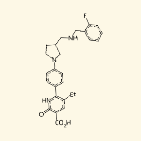 CCc1cc(C(=O)O)c(=O)[nH]c1-c1ccc(N2CCC(CNCc3ccccc3F)C2)cc1